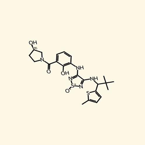 Cc1ccc(C(Nc2n[s+]([O-])nc2Nc2cccc(C(=O)N3CC[C@@H](O)C3)c2O)C(C)(C)C)s1